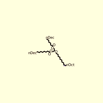 CCCCCCCC/C=C\CCCCCCCCOC(COC(=O)CCCCCCCCCCCCCCC)COC(=O)CCCCCCCCCCCCCCCCC